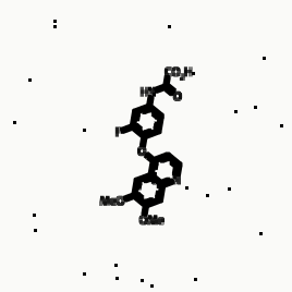 COc1cc2nccc(Oc3ccc(NC(=O)C(=O)O)cc3F)c2cc1OC